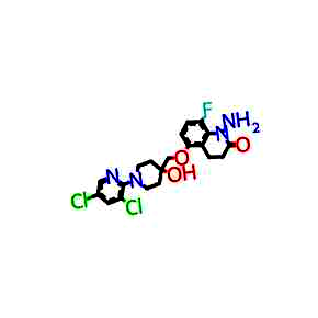 NN1C(=O)CCc2c(OCC3(O)CCN(c4ncc(Cl)cc4Cl)CC3)ccc(F)c21